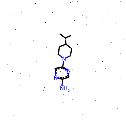 CC(C)C1CCN(c2cnc(N)cn2)CC1